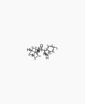 Cc1ccc2c(C(=O)N3[C@@H]4CCN5C[C@@H]6C[C@@H]3C645)n[nH]c2c1